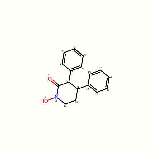 O=C1C(c2ccccc2)C(c2ccccc2)CCN1O